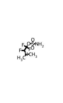 CN(C)C(F)C(F)(F)OS(N)(=O)=O